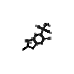 C[C@@H]1Cc2cc(Cl)c(S(N)(=O)=O)cc2N1